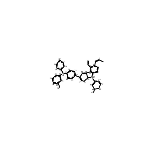 C=Cc1c(/C=C\C)ccc2c1C1=CC(c3ccc(N(c4ccccc4)c4cccc(C)c4)cc3)=CCC1N2C1=CC(C)CC=C1